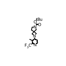 Cc1c(N2CC3(CCN(C(=O)OC(C)(C)C)C3)C2)ccnc1C(F)(F)F